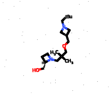 CC(C)(C)CN1CC(COCC(C)(C)CN2CC[C@H]2CO)C1